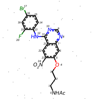 CC(=O)NCCCOc1cc2ncnc(Nc3ccc(Br)cc3F)c2cc1[N+](=O)[O-]